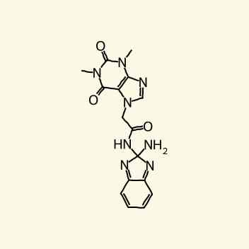 Cn1c(=O)c2c(ncn2CC(=O)NC2(N)N=c3ccccc3=N2)n(C)c1=O